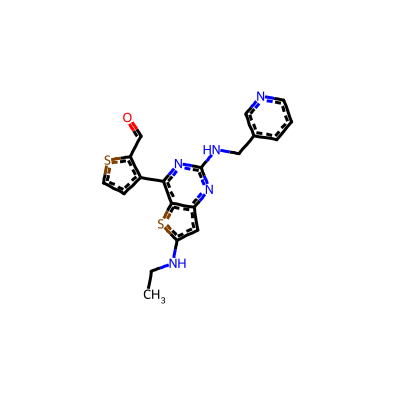 CCNc1cc2nc(NCc3cccnc3)nc(-c3ccsc3C=O)c2s1